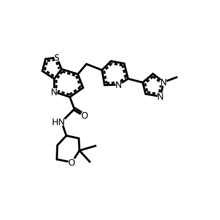 Cn1cc(-c2ccc(Cc3cc(C(=O)NC4CCOC(C)(C)C4)nc4ccsc34)cn2)cn1